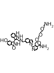 NCCOCCOCCOCCc1c(C(N)=O)ccnc1Cn1ccc2ccc(CNCc3[nH]c4ccccc4c3C3NC(=O)c4ccc(O)cc43)cc21